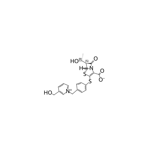 C[C@@H](O)[C@H]1C(=O)N2C(C(=O)[O-])=C(Sc3ccc(C[n+]4cccc(CO)c4)cc3)S[C@H]12